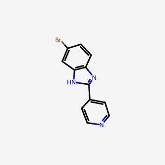 Brc1ccc2nc(-c3ccncc3)[nH]c2c1